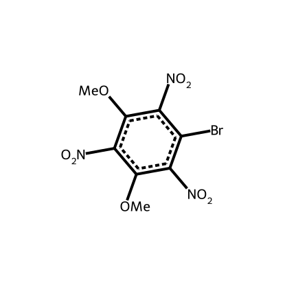 COc1c([N+](=O)[O-])c(Br)c([N+](=O)[O-])c(OC)c1[N+](=O)[O-]